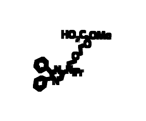 COC(OCCOCCN(c1cnc(-c2ccccc2)c(-c2ccccc2)n1)C(C)C)C(=O)O